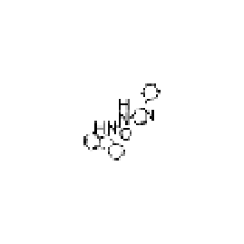 O=C(Nc1ccnc(-c2ccccc2)c1)NC1c2ccccc2-c2ccccc21